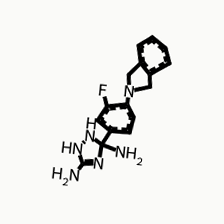 NC1=NC(N)(c2ccc(N3Cc4ccccc4C3)c(F)c2)NN1